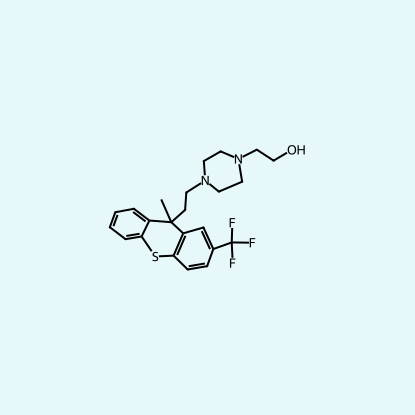 CC1(CCN2CCN(CCO)CC2)c2ccccc2Sc2ccc(C(F)(F)F)cc21